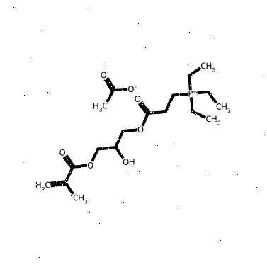 C=C(C)C(=O)OCC(O)COC(=O)CC[P+](CC)(CC)CC.CC(=O)[O-]